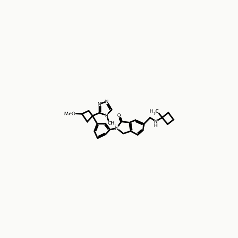 COC1CC(c2cccc(N3Cc4ccc(CNC5(C)CCC5)cc4C3=O)c2)(c2nncn2C)C1